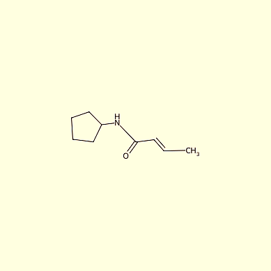 CC=CC(=O)NC1CCCC1